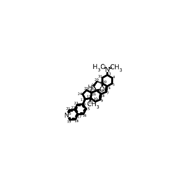 CN(C)C1CCC2=CC3=CCC4(C)C(c5ccc6ccncc6c5)CC[C@H]4[C@@]34CC[C@]2(C1)O4